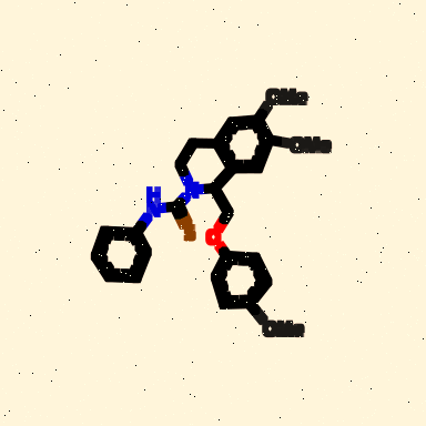 COc1ccc(OCC2c3cc(OC)c(OC)cc3CCN2C(=S)Nc2ccccc2)cc1